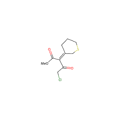 COC(=O)C(C(=O)CCl)=C1CCCSC1